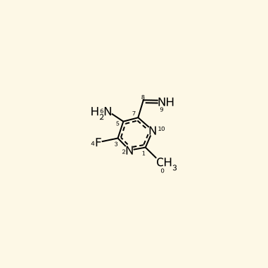 Cc1nc(F)c(N)c(C=N)n1